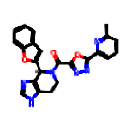 Cc1cccc(-c2nnc(C(=O)N3CCc4[nH]cnc4[C@H]3c3cc4ccccc4o3)o2)n1